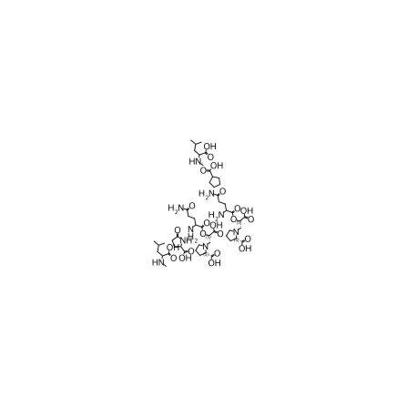 CNC(CC(C)C)C(=O)O.CNC(CC(C)C)C(=O)O.NC(=O)CCC(N)C(=O)O[C@@H](CN1CCC[C@H]1C(=O)O)C(=O)O.NC(=O)CCC(N)C(=O)O[C@@H](CN1CCC[C@H]1C(=O)O)C(=O)O.O=C(O)C1CCCC1.O=C1CCC(C(=O)O)N1